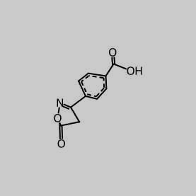 O=C1CC(c2ccc(C(=O)O)cc2)=NO1